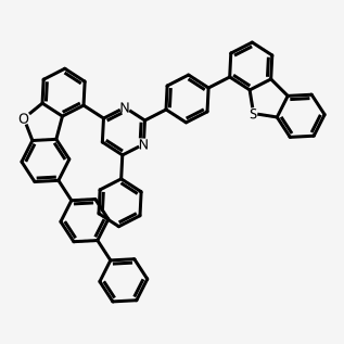 c1ccc(-c2ccc(-c3ccc4oc5cccc(-c6cc(-c7ccccc7)nc(-c7ccc(-c8cccc9c8sc8ccccc89)cc7)n6)c5c4c3)cc2)cc1